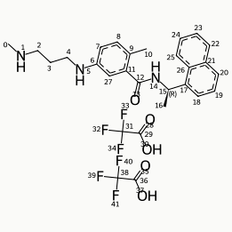 CNCCCNc1ccc(C)c(C(=O)N[C@H](C)c2cccc3ccccc23)c1.O=C(O)C(F)(F)F.O=C(O)C(F)(F)F